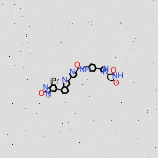 CC(C)c1cc(-c2cccc3cc(-c4ccc(C(=O)NCc5ccc(-c6cnn(C7CCC(=O)NC7=O)c6)cc5)nc4)ncc23)cc2c1n(C)c(=O)n2C